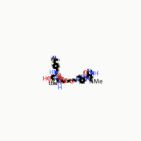 CNc1cc2[nH]cnc(=O)c2c(Nc2cccc3c2ccn3CCOCCOCC(=O)N[C@H](C(=O)N2C[C@H](O)C[C@H]2C(=O)NCc2ccc(-c3scnc3C)cc2)C(C)(C)C)n1